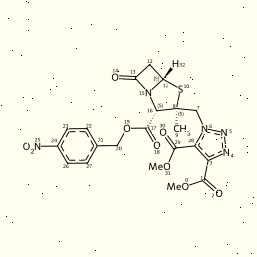 COC(=O)c1nnn(C[C@]2(C)S[C@H]3CC(=O)N3[C@H]2C(=O)OCc2ccc([N+](=O)[O-])cc2)c1C(=O)OC